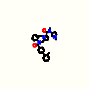 Cc1ccccc1-c1ccc(C(=O)N2Cc3ccc(C(=O)N(C)C4CCN(C)C4)n3Cc3ccccc32)cc1